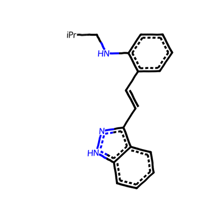 CC(C)CNc1ccccc1C=Cc1n[nH]c2ccccc12